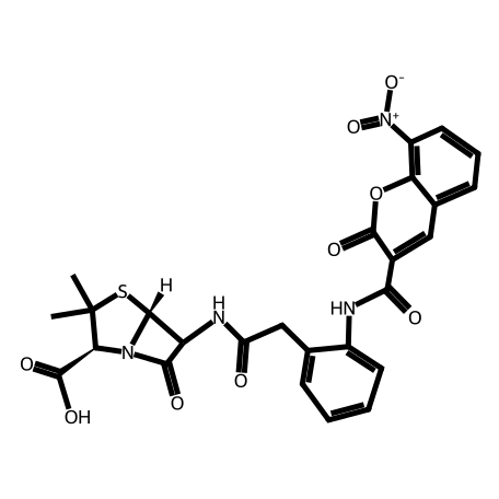 CC1(C)S[C@@H]2C(NC(=O)Cc3ccccc3NC(=O)c3cc4cccc([N+](=O)[O-])c4oc3=O)C(=O)N2[C@H]1C(=O)O